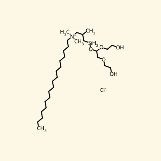 CCCCCCCCCCCCCCCCCC[N+](C)(C)CC(C)C[SiH2]OC(COCCO)OCCO.[Cl-]